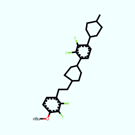 CCCCOc1ccc(CCC2CCC(c3ccc(C4CCC(C)CC4)c(F)c3F)CC2)c(F)c1F